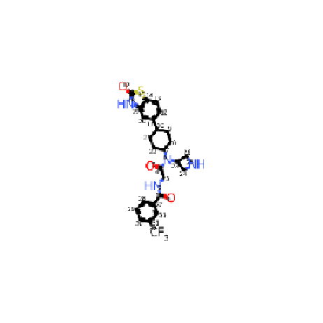 O=C(NCC(=O)N(C1CCC(c2ccc3sc(=O)[nH]c3c2)CC1)C1CNC1)c1cccc(C(F)(F)F)c1